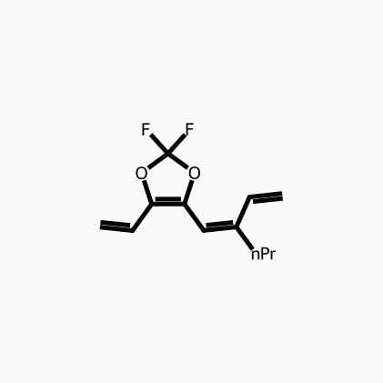 C=CC1=C(/C=C(\C=C)CCC)OC(F)(F)O1